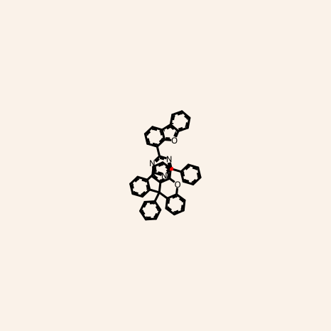 c1ccc(-c2nc(-c3ccccc3C3(c4ccccc4)c4ccccc4Oc4ccccc43)nc(-c3cccc4c3oc3ccccc34)n2)cc1